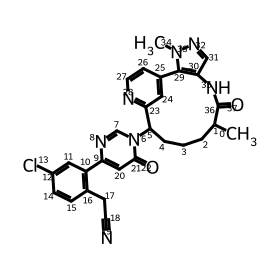 CC1CCCC(n2cnc(-c3cc(Cl)ccc3CC#N)cc2=O)c2cc(ccn2)-c2c(cnn2C)NC1=O